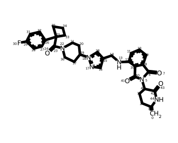 C=C1CCC(N2C(=O)c3cccc(NCc4cnn(C5CCN(C(=O)C6(c7ccc(F)cc7)CCC6)CC5)c4)c3C2=O)C(=O)N1